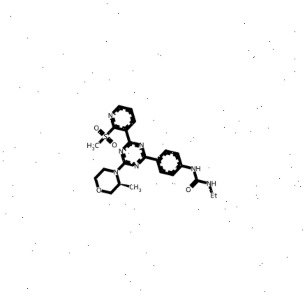 CCNC(=O)Nc1ccc(-c2nc(-c3cccnc3S(C)(=O)=O)nc(N3CCOC[C@@H]3C)n2)cc1